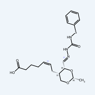 C[C@@H]1OC[C@H](C/C=C\CCCC(=O)O)[C@H](/C=N/NC(=O)NSc2ccccc2)O1